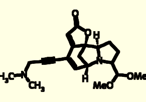 COC(OC)C1CC[C@H]2N1[C@@H]1C=C(C#CCN(C)C)C3=CC(=O)O[C@@]32C1